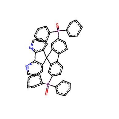 O=P(c1ccccc1)(c1ccccc1)c1ccc2c(c1)C1(c3cc(P(=O)(c4ccccc4)c4ccccc4)ccc3-2)c2cccnc2-c2ncccc21